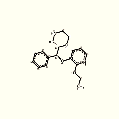 CCOc1ncccc1O[C@@H](c1ccccc1)[C@@H]1CNCCO1